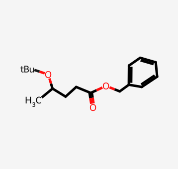 CC(CCC(=O)OCc1ccccc1)OC(C)(C)C